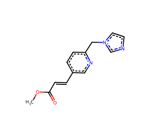 COC(=O)/C=C/c1ccc(Cn2ccnc2)nc1